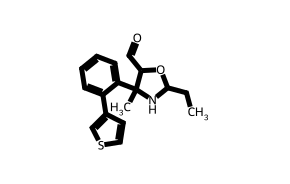 CCC1NC(C)(c2ccccc2-c2ccsc2)C(C=O)O1